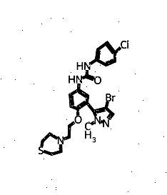 Cn1ncc(Br)c1-c1cc(NC(=O)Nc2ccc(Cl)cc2)ccc1OCCN1CCSCC1